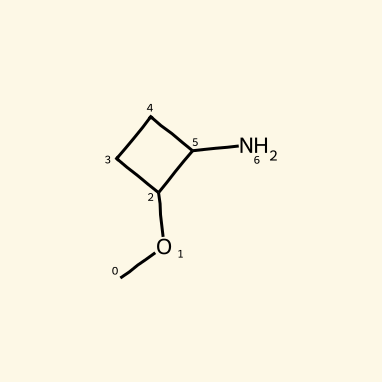 COC1CCC1N